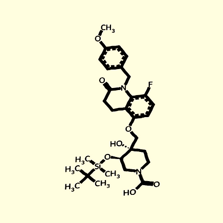 COc1ccc(CN2C(=O)CCc3c(OC[C@@]4(O)CCN(C(=O)O)C[C@H]4O[Si](C)(C)C(C)(C)C)ccc(F)c32)cc1